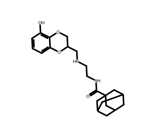 O=C(NCCNCC1COc2c(O)cccc2O1)C12CC3CC(CC(C3)C1)C2